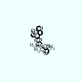 Cc1ccnnc1C(C)(C)NCc1nc(-c2ccc3ncccc3c2)c(-c2ccn(C)n2)nc1N